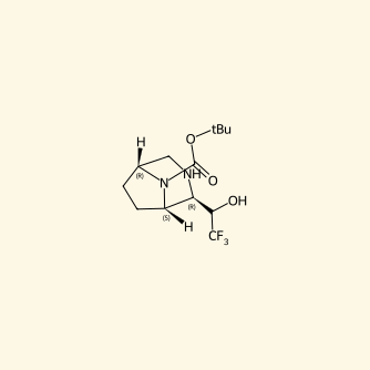 CC(C)(C)OC(=O)N1[C@@H]2CC[C@H]1[C@H](C(O)C(F)(F)F)NC2